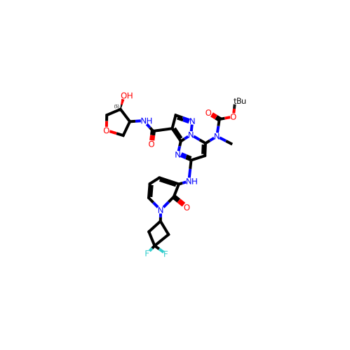 CN(C(=O)OC(C)(C)C)c1cc(Nc2cccn(C3CC(F)(F)C3)c2=O)nc2c(C(=O)NC3COC[C@H]3O)cnn12